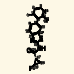 Cc1ccnc(F)c1-c1ccc2nc(NC(=O)[C@@H]3CC3F)sc2c1